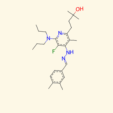 CCCN(CCC)c1nc(CCC(C)(C)O)c(C)c(N/N=C/c2ccc(C)c(C)c2)c1F